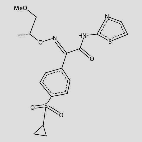 COC[C@@H](C)O/N=C(/C(=O)Nc1nccs1)c1ccc(S(=O)(=O)C2CC2)cc1